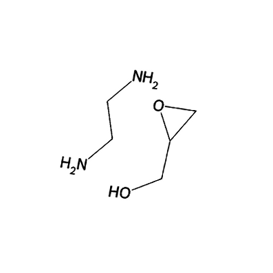 NCCN.OCC1CO1